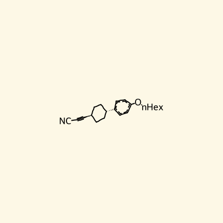 CCCCCCOc1ccc([C@H]2CC[C@H](C#CC#N)CC2)cc1